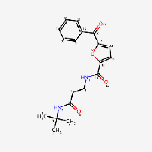 CC(C)(C)NC(=O)CCNC(=O)c1ccc(C(=O)c2ccccc2)o1